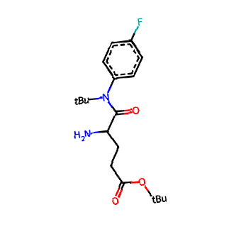 CC(C)(C)OC(=O)CCC(N)C(=O)N(c1ccc(F)cc1)C(C)(C)C